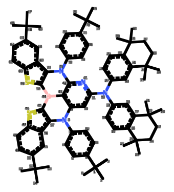 CC(C)(C)c1ccc(N2c3cc(N(c4ccc5c(c4)C(C)(C)CCC5(C)C)c4ccc5c(c4)C(C)(C)CCC5(C)C)nc4c3B(c3sc5ccc(C(C)(C)C)cc5c32)c2sc3ccc(C(C)(C)C)cc3c2N4c2ccc(C(C)(C)C)cc2)cc1